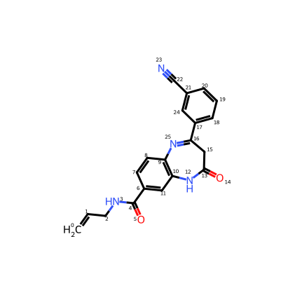 C=CCNC(=O)c1ccc2c(c1)NC(=O)CC(c1cccc(C#N)c1)=N2